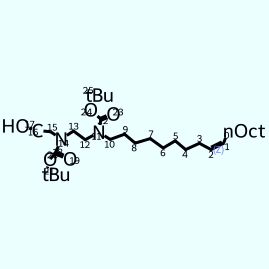 CCCCCCCC/C=C\CCCCCCCCN(CCN(CCO)C(=O)OC(C)(C)C)C(=O)OC(C)(C)C